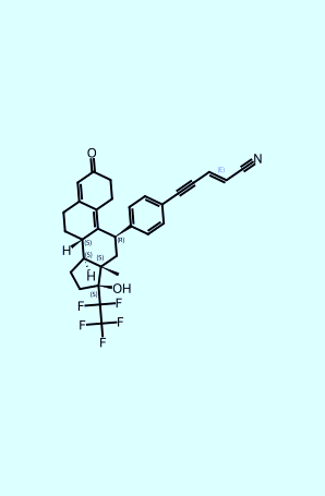 C[C@]12C[C@H](c3ccc(C#C/C=C/C#N)cc3)C3=C4CCC(=O)C=C4CC[C@H]3[C@@H]1CC[C@@]2(O)C(F)(F)C(F)(F)F